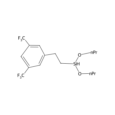 CCCO[SiH](CCc1cc(C(F)(F)F)cc(C(F)(F)F)c1)OCCC